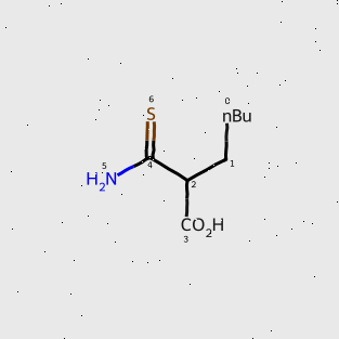 CCCCCC(C(=O)O)C(N)=S